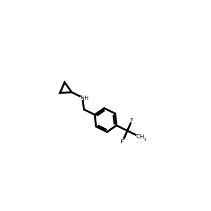 CC(F)(F)c1ccc(CNC2CC2)cc1